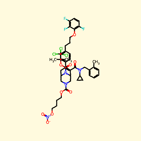 Cc1ccccc1CN(C(=O)C1=C(c2ccc(CCCOc3c(F)ccc(F)c3F)cc2)CC2CN(C(=O)OCCCCO[N+](=O)[O-])CC1N2C(=O)OC(C)(C)C(Cl)(Cl)Cl)C1CC1